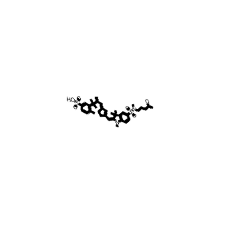 C=C(/C=C1C=C(/C=C2/N(C)c3ccc(S(=O)(=O)N(C)CCCC(C)=O)cc3C2(C)C)CC/1)C(C)(C)c1cc(S(=O)(=O)O)ccc1C